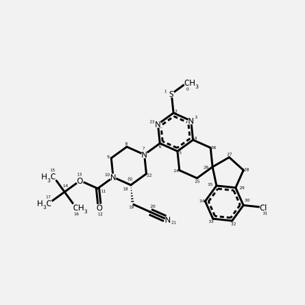 CSc1nc2c(c(N3CCN(C(=O)OC(C)(C)C)[C@@H](CC#N)C3)n1)CCC1(CCc3c(Cl)cccc31)C2